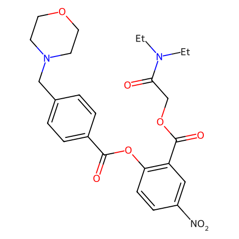 CCN(CC)C(=O)COC(=O)c1cc([N+](=O)[O-])ccc1OC(=O)c1ccc(CN2CCOCC2)cc1